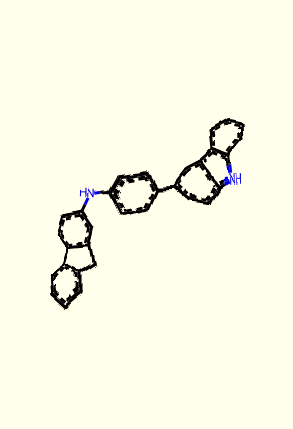 c1ccc2c(c1)Cc1cc(Nc3ccc(-c4ccc5[nH]c6ccccc6c5c4)cc3)ccc1-2